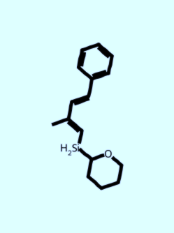 CC(C=Cc1ccccc1)=C[SiH2]C1CCCCO1